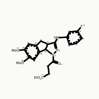 CCOC(=O)CCC(=O)N1N=C(Nc2cccc(F)c2)C2Cc3cc(OC)c(OC)cc3C21